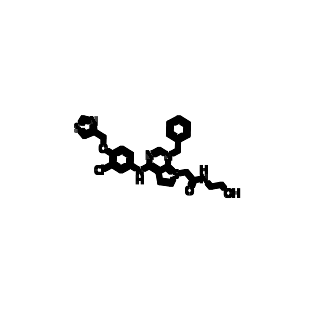 O=C(CS1=C2C(=C(Nc3ccc(OCc4cscn4)c(Cl)c3)N=CN2Cc2ccccc2)C=C1)NCCO